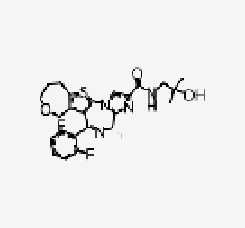 C[C@@H]1N=C(c2c(F)cccc2F)c2c(sc3c2COCCC3)-n2cc(C(=O)NCC(C)(C)O)nc21